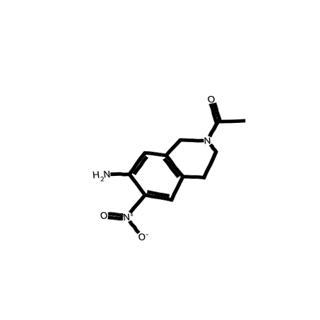 CC(=O)N1CCc2cc([N+](=O)[O-])c(N)cc2C1